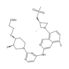 COCCO[C@H]1CCN(c2nccc(Nc3cc4c(F)ccc(N5C[C@H](CS(C)(=O)=O)[C@H]5C)c4cn3)n2)C[C@H]1F